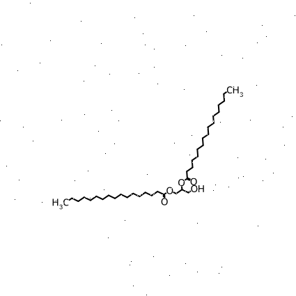 CCCCCCCCCCCCCCCCC(=O)OCC(CO)OC(=O)CCCCCCCCCCCCCCCC